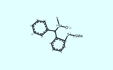 CSSc1ccccc1C(c1ccccc1)[S+](C)[O-]